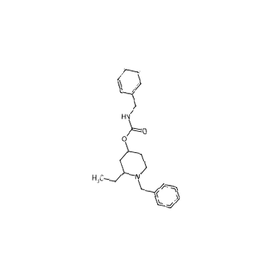 CCC1CC(OC(=O)NCC2=C[C][C]C=C2)CCN1Cc1ccccc1